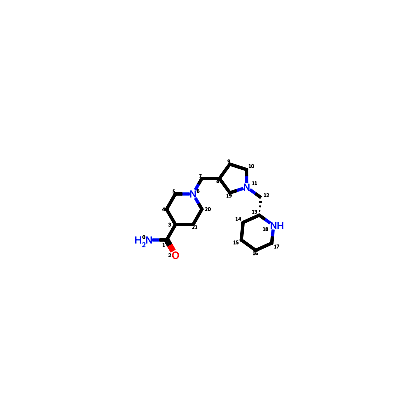 NC(=O)C1CCN(CC2CCN(C[C@H]3CCCCN3)C2)CC1